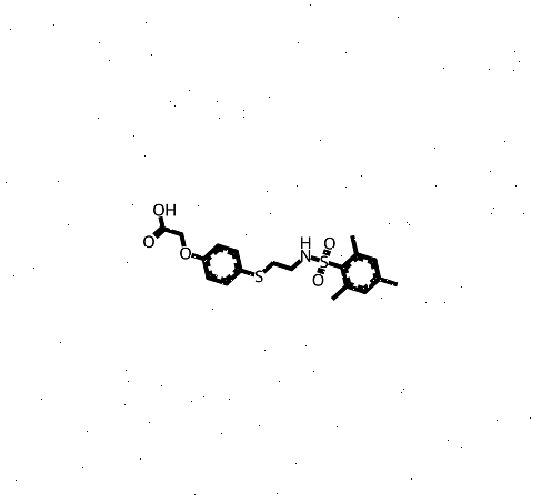 Cc1cc(C)c(S(=O)(=O)NCCSc2ccc(OCC(=O)O)cc2)c(C)c1